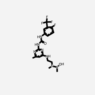 CB(O)N(C)CCNc1cc(C)nc(NC(=O)Nc2ccc(F)c(C(F)(F)F)c2)n1